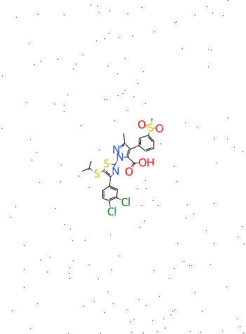 Cc1nn(-c2nc(-c3ccc(Cl)c(Cl)c3)c(SC(C)C)s2)c(C(=O)O)c1-c1cccc(S(C)(=O)=O)c1